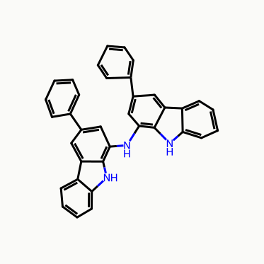 c1ccc(-c2cc(Nc3cc(-c4ccccc4)cc4c3[nH]c3ccccc34)c3[nH]c4ccccc4c3c2)cc1